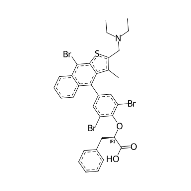 CCN(CC)Cc1sc2c(Br)c3ccccc3c(-c3cc(Br)c(O[C@H](Cc4ccccc4)C(=O)O)c(Br)c3)c2c1C